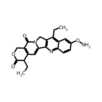 CCc1c2c(nc3ccc(ON)cc13)-c1cc3c(c(=O)n1C2)COC(=O)C3CC